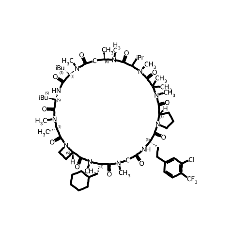 CC[C@H](C)[C@@H]1NC(=O)[C@H]([C@@H](C)CC)N(C)C(=O)C[C@@H](C)N(C)C(=O)C(C(C)C)N(C)C(=O)C(C)(C)N(C)C(=O)[C@@H]2CCCN2C(=O)[C@H](CCc2ccc(C(F)(F)F)c(Cl)c2)NC(=O)CN(C)C(=O)[C@H](CC2CCCCC2)N(C)C(=O)[C@@H]2CCN2C(=O)[C@H](C)N(C)C1=O